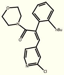 CCCCc1ccccc1C(=Cc1ccnc(Cl)c1)C(=O)N1CCOCC1